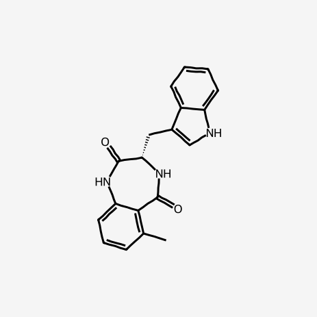 Cc1cccc2c1C(=O)N[C@@H](Cc1c[nH]c3ccccc13)C(=O)N2